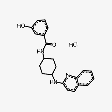 Cl.O=C(NC1CCC(Nc2ccc3ccccc3n2)CC1)c1cccc(O)c1